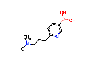 CN(C)CCCc1ccc(B(O)O)cn1